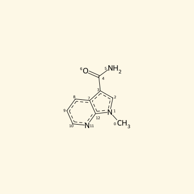 Cn1cc(C(N)=O)c2cccnc21